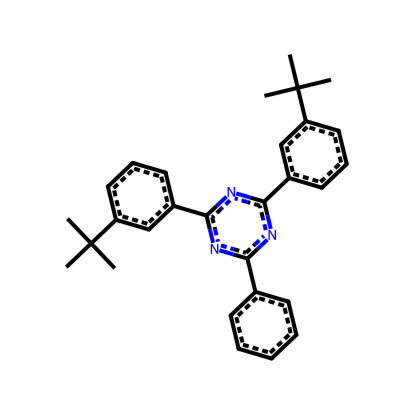 CC(C)(C)c1cccc(-c2nc(-c3ccccc3)nc(-c3cccc(C(C)(C)C)c3)n2)c1